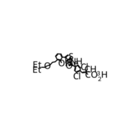 CCC(CC)COCCCc1cccc(-c2csc(NC(=O)c3cc(Cl)c(C=C(C)C(=O)O)c(Cl)c3)n2)c1OC